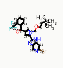 C[Si](C)(C)CCOCn1cc(C(=O)c2ccccc2C(F)(F)F)cc1-c1nc2cnc(Br)cc2[nH]1